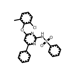 Cc1cccc(Cl)c1Oc1cc(-c2ccccc2)nc(NS(=O)(=O)c2ccccc2)n1